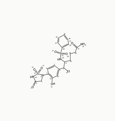 CCC(c1ccc(N2CC(=O)NS2(=O)=O)c(O)c1)C(CCCC(N)=O)NS(=O)(=O)c1ccccc1